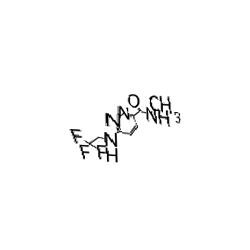 CNC(=O)c1ccc(NCC(F)(F)F)nn1